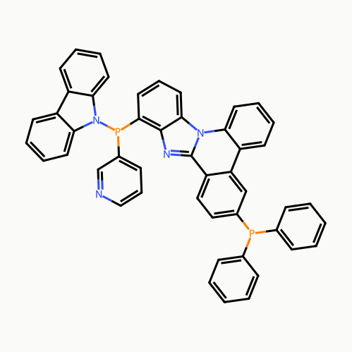 c1ccc(P(c2ccccc2)c2ccc3c(c2)c2ccccc2n2c4cccc(P(c5cccnc5)n5c6ccccc6c6ccccc65)c4nc32)cc1